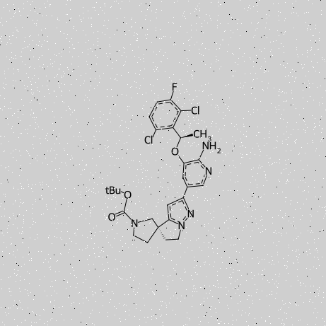 C[C@@H](Oc1cc(-c2cc3n(n2)CC[C@@]32CCN(C(=O)OC(C)(C)C)C2)cnc1N)c1c(Cl)ccc(F)c1Cl